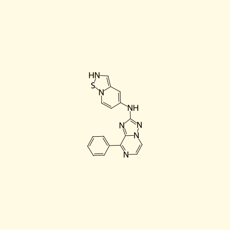 C1=CN2SNC=C2C=C1Nc1nc2c(-c3ccccc3)nccn2n1